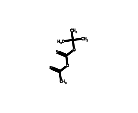 CC(=S)OC(=S)OC(C)(C)C